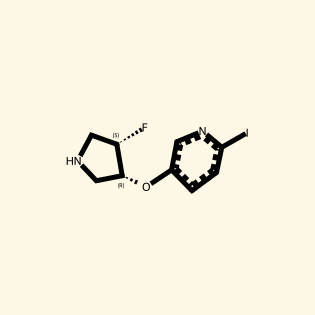 F[C@H]1CNC[C@H]1Oc1ccc(I)nc1